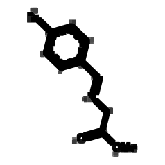 COC(=O)CN=Cc1ccc(Br)cc1